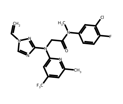 C=Cn1cnc(N(CC(=O)N(C)c2ccc(F)c(Cl)c2)c2cc(C(F)(F)F)cc(C)n2)n1